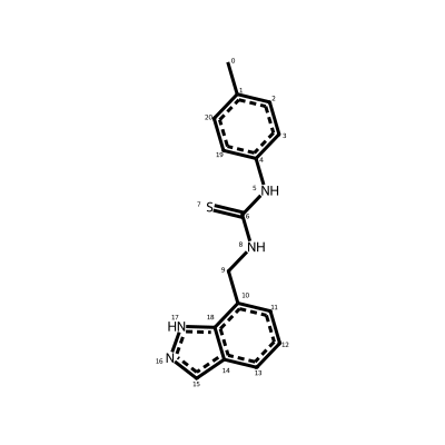 Cc1ccc(NC(=S)NCc2cccc3cn[nH]c23)cc1